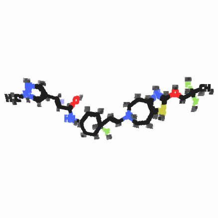 Cn1cc(/C=C/C(=O)N[C@H]2CC[C@](F)(CCN3CCc4nc(OCC(C)(F)F)sc4CC3)CC2)cn1